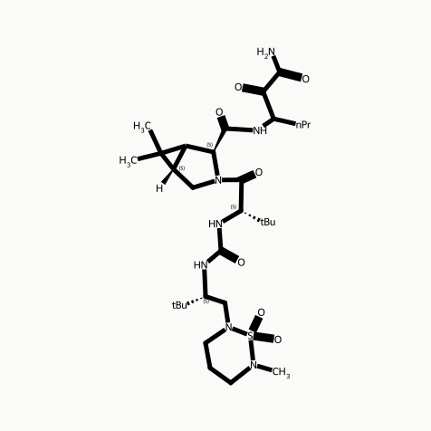 CCCC(NC(=O)[C@@H]1C2[C@H](CN1C(=O)[C@@H](NC(=O)N[C@H](CN1CCCN(C)S1(=O)=O)C(C)(C)C)C(C)(C)C)C2(C)C)C(=O)C(N)=O